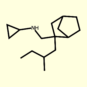 CCC(C)CC1(CNC2CC2)CC2CCC1C2